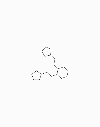 C1CCC(CCC2CCCCC2CCC2CCCC2)C1